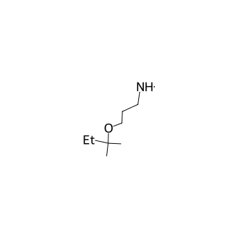 CCC(C)(C)OCCC[NH]